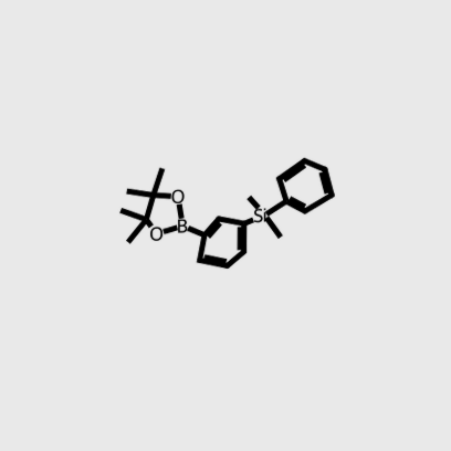 CC1(C)OB(c2cccc([Si](C)(C)c3ccccc3)c2)OC1(C)C